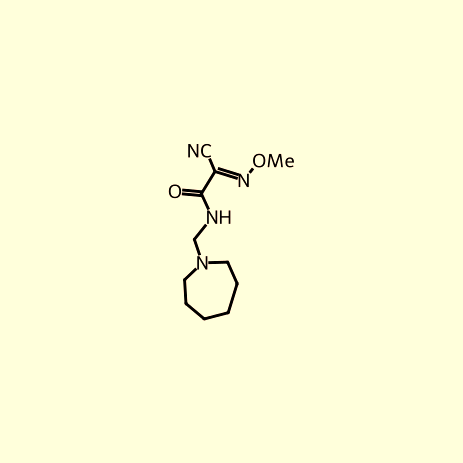 CON=C(C#N)C(=O)NCN1CCCCCC1